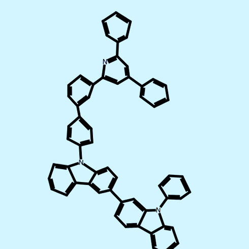 c1ccc(-c2cc(-c3ccccc3)nc(-c3cccc(-c4ccc(-n5c6ccccc6c6cc(-c7ccc8c9ccccc9n(-c9ccccc9)c8c7)ccc65)cc4)c3)c2)cc1